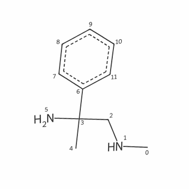 CNCC(C)(N)c1ccccc1